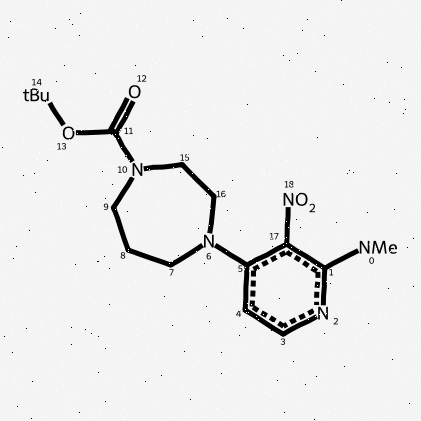 CNc1nccc(N2CCCN(C(=O)OC(C)(C)C)CC2)c1[N+](=O)[O-]